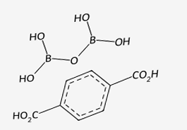 O=C(O)c1ccc(C(=O)O)cc1.OB(O)OB(O)O